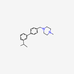 CC(C)c1cccc(-c2ccc(CN3CCN(C)CC3)cc2)c1